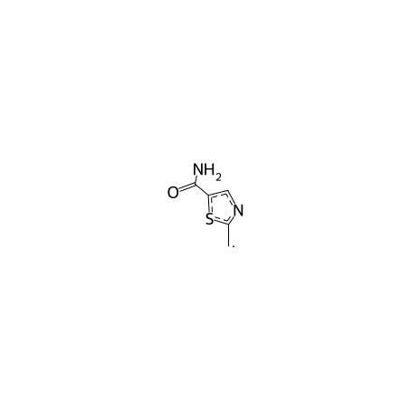 [CH2]c1ncc(C(N)=O)s1